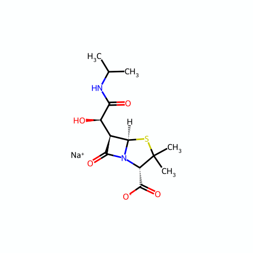 CC(C)NC(=O)[C@H](O)[C@@H]1C(=O)N2[C@@H]1SC(C)(C)[C@@H]2C(=O)[O-].[Na+]